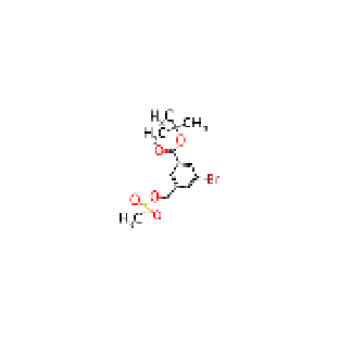 CC(C)(C)OC(=O)c1cc(Br)cc(COS(C)(=O)=O)c1